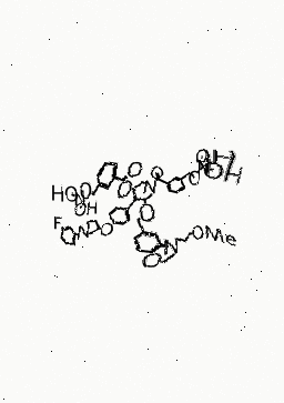 COCCCN1CCOc2ccc(COC3CN(C(=O)c4cccc(CON(O)O)c4)CC(OC(=O)c4cccc(CON(O)O)c4)C3c3ccc(OC4CCN(c5cccc(F)c5)C4)cc3)cc21